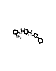 Nc1ccccc1NC(=O)c1ccc(C(=O)NC2CCN(C3CCCCC3)C2)cn1